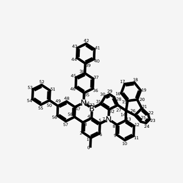 Cc1cc2c3c(c1)N1c4ccccc4C4(c5ccccc5-c5ccccc54)c4cccc(c41)B3N(c1ccc(-c3ccccc3)cc1)c1cc(-c3ccccc3)ccc1-2